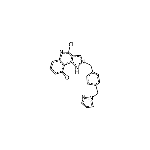 O=c1cccc2nc(Cl)c3cn(Cc4ccc(Cn5cccn5)cc4)[nH]c3c12